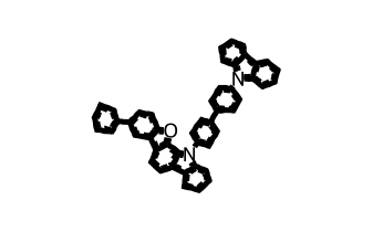 c1ccc(-c2ccc3oc4c(ccc5c6ccccc6n(-c6ccc(-c7ccc(-n8c9ccccc9c9ccccc98)cc7)cc6)c54)c3c2)cc1